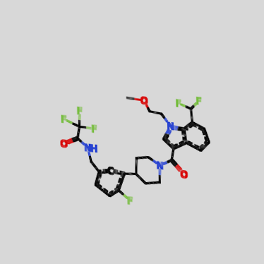 COCCn1cc(C(=O)N2CCC(c3cc(CNC(=O)C(F)(F)F)ccc3F)CC2)c2cccc(C(F)F)c21